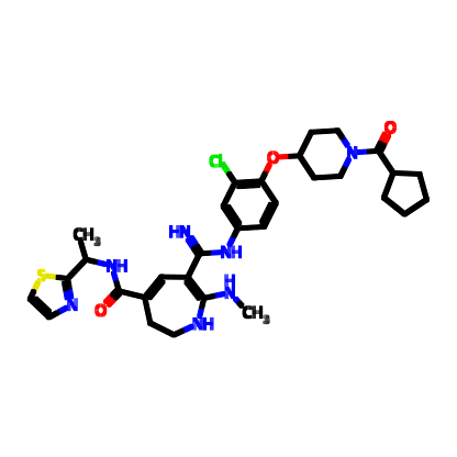 CNC1=C(C(=N)Nc2ccc(OC3CCN(C(=O)C4CCCC4)CC3)c(Cl)c2)C=C(C(=O)NC(C)c2nccs2)CCN1